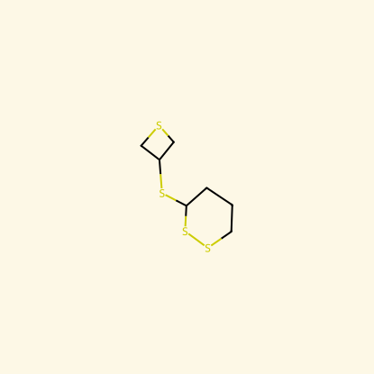 C1CSSC(SC2CSC2)C1